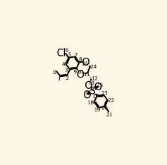 C/C=C\c1cc(Cl)cc2c1O[C@@H](COS(=O)(=O)c1ccc(C)cc1)CO2